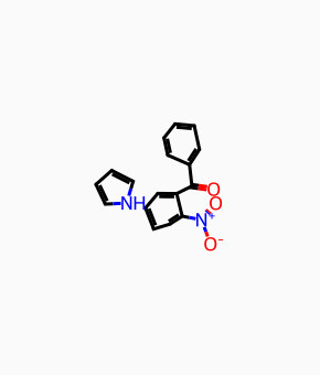 O=C(c1ccccc1)c1ccccc1[N+](=O)[O-].c1cc[nH]c1